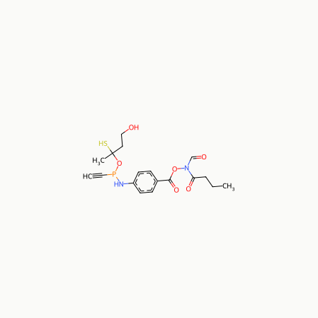 C#CP(Nc1ccc(C(=O)ON(C=O)C(=O)CCC)cc1)OC(C)(S)CCO